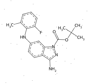 Cc1cccc(F)c1Nc1ccc2c(N)nn(C(=O)OC(C)(C)C)c2c1